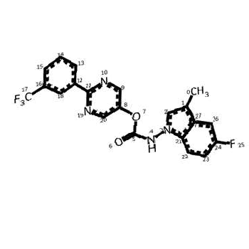 Cc1cn(NC(=O)Oc2cnc(-c3cccc(C(F)(F)F)c3)nc2)c2ccc(F)cc12